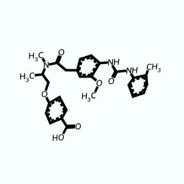 COc1cc(CC(=O)N(C)C(C)COc2ccc(C(=O)O)cc2)ccc1NC(=O)Nc1ccccc1C